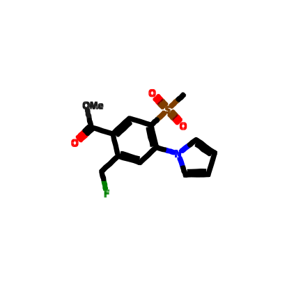 COC(=O)c1cc(S(C)(=O)=O)c(-n2cccc2)cc1CF